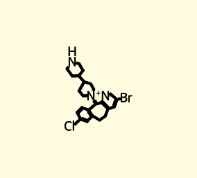 Clc1ccc2c(c1)CCc1cc(Br)cnc1C2=[N+]1CCC(C2CCNCC2)CC1